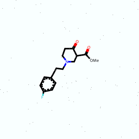 COC(=O)C1CN(CCc2ccc(F)cc2)CCC1=O